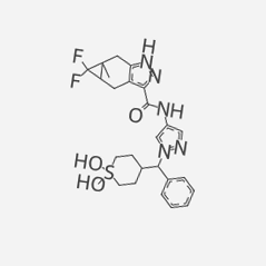 CC12Cc3[nH]nc(C(=O)Nc4cnn(C(c5ccccc5)C5CCS(O)(O)CC5)c4)c3CC1C2(F)F